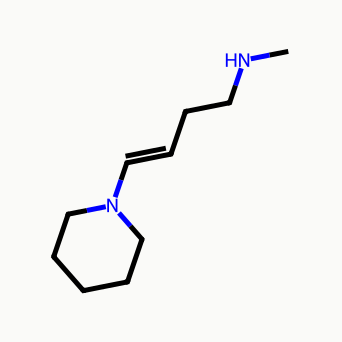 CNCC/C=C/N1CCCCC1